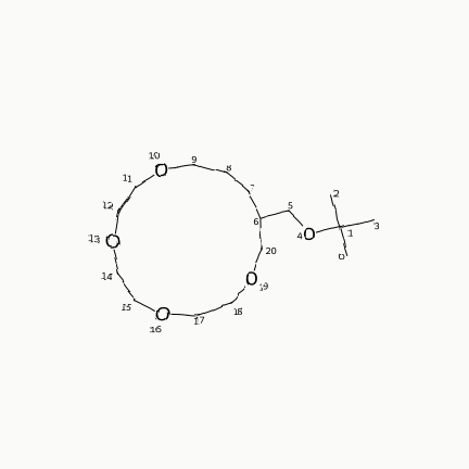 CC(C)(C)OCC1CCCOCCOCCOCCOC1